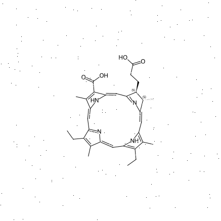 CCC1=C(C)c2cc3[nH]c(cc4nc(cc5[nH]c(cc1n2)c(C)c5C(=O)O)[C@@H](CCC(=O)O)[C@@H]4C)c(C)c3CC